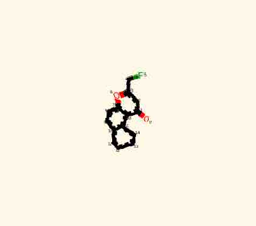 O=c1cc(CF)oc2ccc3ccccc3c12